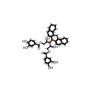 O=C(OCC(O)COc1ccc2ccccc2c1Cc1c(COC(O)COC(=O)c2ccc(O)c(O)c2)ccc2ccccc12)c1ccc(O)c(O)c1